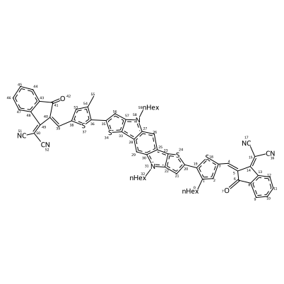 CCCCCCc1cc(/C=C2\C(=O)c3ccccc3C2=C(C#N)C#N)sc1-c1cc2c(s1)c1cc3c(cc1n2CCCCCC)c1sc(-c2sc(/C=C4\C(=O)c5ccccc5C4=C(C#N)C#N)cc2C)cc1n3CCCCCC